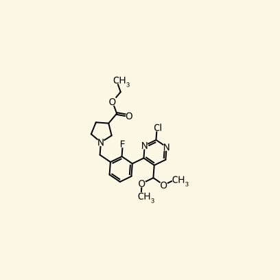 CCOC(=O)C1CCN(Cc2cccc(-c3nc(Cl)ncc3C(OC)OC)c2F)C1